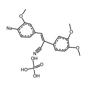 COc1cc(C=C(C#N)c2ccc(OC)c(OC)c2)cc[c]1[Na].O=P(O)(O)O